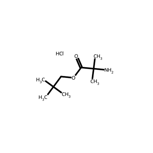 CC(C)(C)COC(=O)C(C)(C)N.Cl